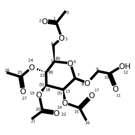 CC(=O)OC[C@H]1OC(OCC(=O)O)[C@@H](OC(C)=O)[C@@H](OC(C)=O)[C@@H]1OC(C)=O